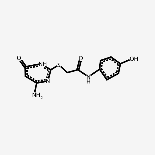 Nc1cc(=O)[nH]c(SCC(=O)Nc2ccc(O)cc2)n1